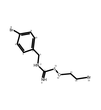 N=C(NCc1ccc(Br)cc1)SOCCBr